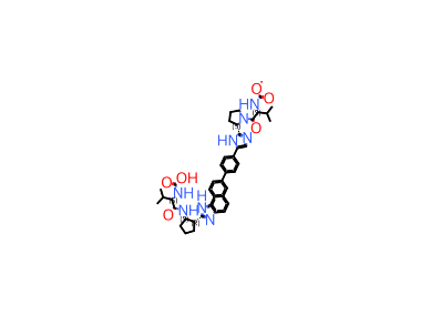 COC(=O)N[C@H](C(=O)N1CCC[C@H]1c1ncc(-c2ccc(-c3ccc4c(ccc5nc([C@@H]6CCC[C@@H]6NC(=O)[C@@H](NC(=O)O)C(C)C)[nH]c54)c3)cc2)[nH]1)C(C)C